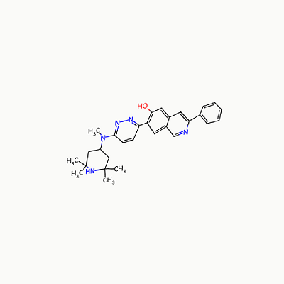 CN(c1ccc(-c2cc3cnc(-c4ccccc4)cc3cc2O)nn1)C1CC(C)(C)NC(C)(C)C1